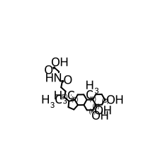 C[C@H](CCC(=O)NCC(=O)O)C1CCC2C3C[C@@H](O)[C@@]4(O)C[C@@H](O)CC[C@]4(C)C3CC[C@@]21C